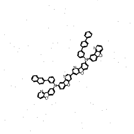 c1ccc(-c2ccc(-c3cccc(N(c4ccc5oc6cccnc6c5c4)c4ccc5oc6cc(-c7cnc8c(c7)oc7ccc(N(c9cccc(-c%10ccc%11ccccc%11c%10)c9)c9ccc%10oc%11cccnc%11c%10c9)cc78)cnc6c5c4)c3)cc2)cc1